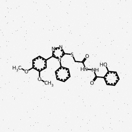 COc1ccc(-c2nnc(SCC(=O)NNC(=O)c3ccccc3O)n2-c2ccccc2)cc1OC